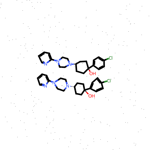 O[C@]1(c2ccc(Cl)cc2)CC[C@@H](N2CCN(c3ccccn3)CC2)CC1.O[C@]1(c2ccc(Cl)cc2)CC[C@H](N2CCN(c3ccccn3)CC2)CC1